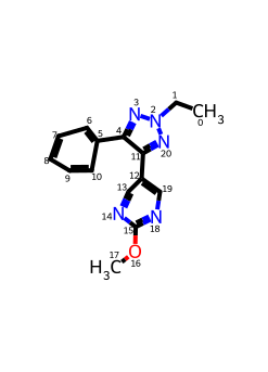 CCn1nc(-c2ccccc2)c(-c2cnc(OC)nc2)n1